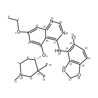 CCOc1cc(O[C@H]2CCN(C)CC2(F)F)c2c(Nc3c(Cl)ccc4c3OCO4)ncnc2c1